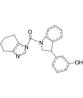 O=C(N1CC(c2cccc(O)c2)c2ccccc21)n1cnc2c1CCCC2